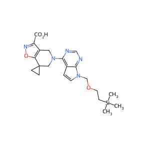 C[Si](C)(C)CCOCn1ccc2c(N3Cc4c(C(=O)O)noc4C4(CC4)C3)ncnc21